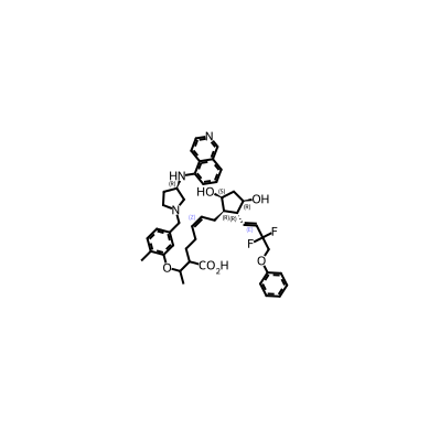 Cc1ccc(CN2CC[C@@H](Nc3cccc4cnccc34)C2)cc1OC(C)C(CC/C=C\C[C@@H]1[C@@H](/C=C/C(F)(F)COc2ccccc2)[C@H](O)C[C@@H]1O)C(=O)O